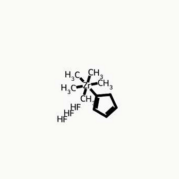 F.F.F.[CH3][Zr]([CH3])([CH3])([CH3])([CH3])[C]1=CC=CC1